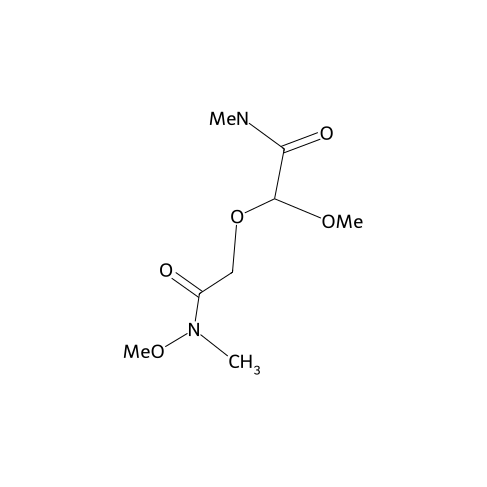 CNC(=O)C(OC)OCC(=O)N(C)OC